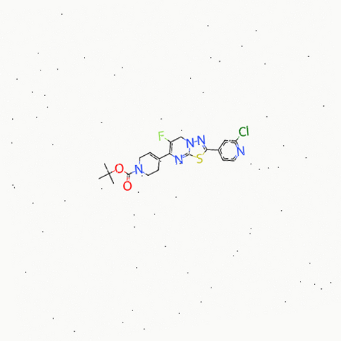 CC(C)(C)OC(=O)N1CC=C(C2=C(F)CN3N=C(c4ccnc(Cl)c4)SC3=N2)CC1